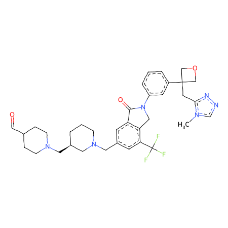 Cn1cnnc1CC1(c2cccc(N3Cc4c(cc(CN5CCC[C@H](CN6CCC(C=O)CC6)C5)cc4C(F)(F)F)C3=O)c2)COC1